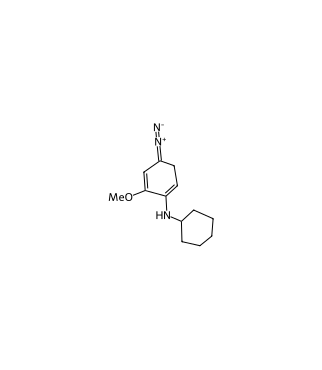 COC1=CC(=[N+]=[N-])CC=C1NC1CCCCC1